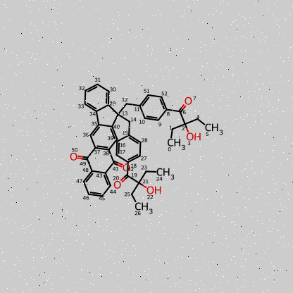 CCC(O)(CC)C(=O)c1ccc(CC2(Cc3ccc(C(=O)C(O)(CC)CC)cc3)c3ccccc3-c3cc4c(cc32)C(=O)c2ccccc2C4=O)cc1